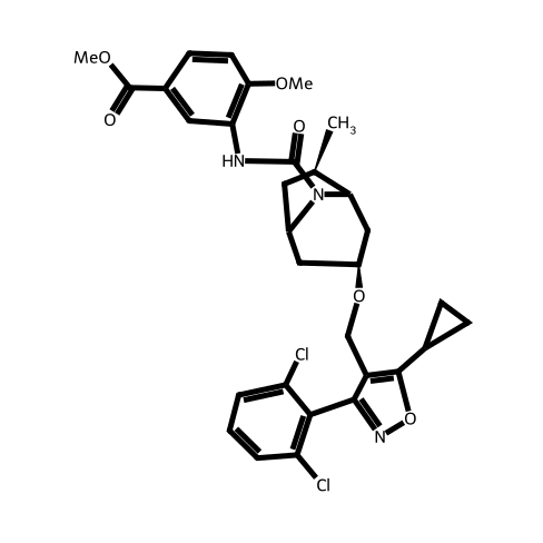 COC(=O)c1ccc(OC)c(NC(=O)N2C3C[C@H](OCc4c(-c5c(Cl)cccc5Cl)noc4C4CC4)CC2[C@H](C)C3)c1